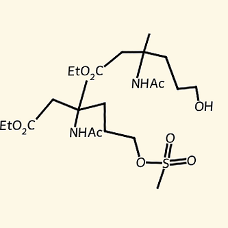 CCOC(=O)CC(C)(CCCO)NC(C)=O.CCOC(=O)CC(C)(CCCOS(C)(=O)=O)NC(C)=O